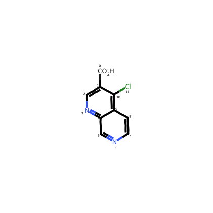 O=C(O)c1cnc2cnccc2c1Cl